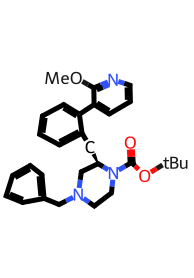 COc1ncccc1-c1ccccc1C[C@@H]1CN(Cc2ccccc2)CCN1C(=O)OC(C)(C)C